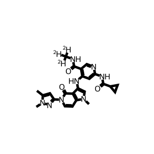 [2H]C([2H])([2H])NC(=O)c1cnc(NC(=O)C2CC2)cc1Nc1cn(C)c2ccn(-c3cc(C)n(C)n3)c(=O)c12